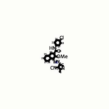 [C-]#[N+]c1c(C)nsc1/N=N/c1c(OC)c(C(=O)Nc2ccc(Cl)cc2)cc2ccccc12